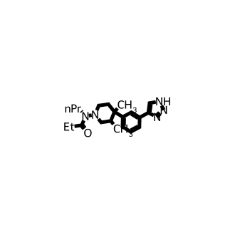 CCCN(C(=O)CC)N1CCC(C)(c2cccc(-c3c[nH]nn3)c2)C(C)C1